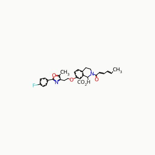 CC=CC=CC(=O)N1CCc2ccc(OCCc3nc(-c4ccc(F)cc4)oc3C)cc2C1C(=O)O